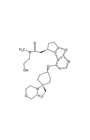 CC[C@]1(N2CCOCC2)CC[C@H](Oc2ccnc3sc4c(c23)[C@@H](CC(=O)N(C)CCO)CC4)CC1